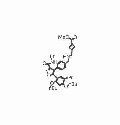 CCCCOc1cc(OCCCC)c(C(C)C)cc1-c1onc(C(=O)NCC)c1-c1ccc(CNCC2CC(C(=O)OC)C2)cc1